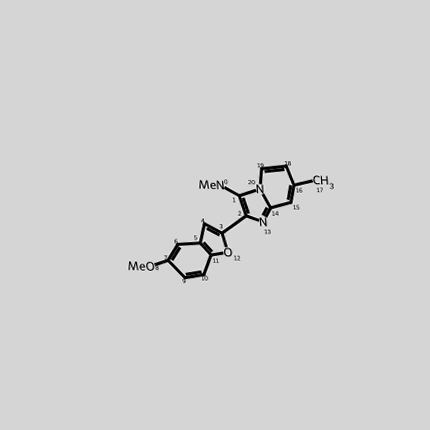 CNc1c(-c2cc3cc(OC)ccc3o2)nc2cc(C)ccn12